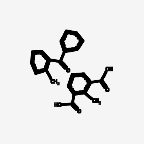 Cc1c(C(=O)O)cccc1C(=O)O.Cc1ccccc1C(=O)c1ccccc1